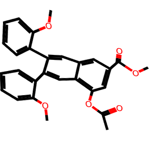 COC(=O)c1cc(OC(C)=O)c2cc(-c3ccccc3OC)c(-c3ccccc3OC)cc2c1